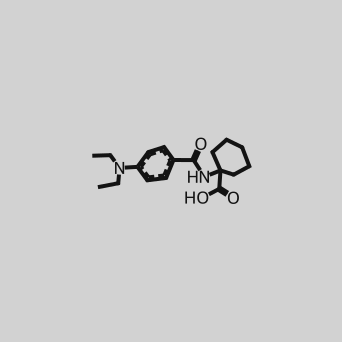 CCN(CC)c1ccc(C(=O)NC2(C(=O)O)CCCCC2)cc1